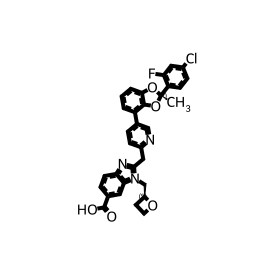 C[C@@]1(c2ccc(Cl)cc2F)Oc2cccc(-c3ccc(Cc4nc5ccc(C(=O)O)cc5n4C[C@@H]4CCO4)nc3)c2O1